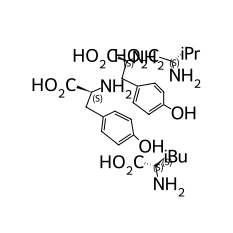 CC(C)[C@H](N)C(=O)O.CC[C@H](C)[C@H](N)C(=O)O.N[C@@H](Cc1ccc(O)cc1)C(=O)O.N[C@@H](Cc1ccc(O)cc1)C(=O)O